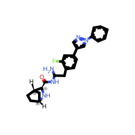 NC(Cc1ccc(-c2cnn(-c3ccccc3)c2)cc1F)NC(=O)[C@H]1N[C@@H]2CC[C@H]1C2